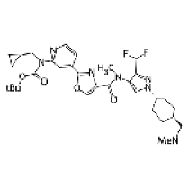 CNC[C@H]1CC[C@H](n2cc(N(C)C(=O)c3coc(-c4ccnc(N(CC5CC5)C(=O)OC(C)(C)C)c4)n3)c(C(F)F)n2)CC1